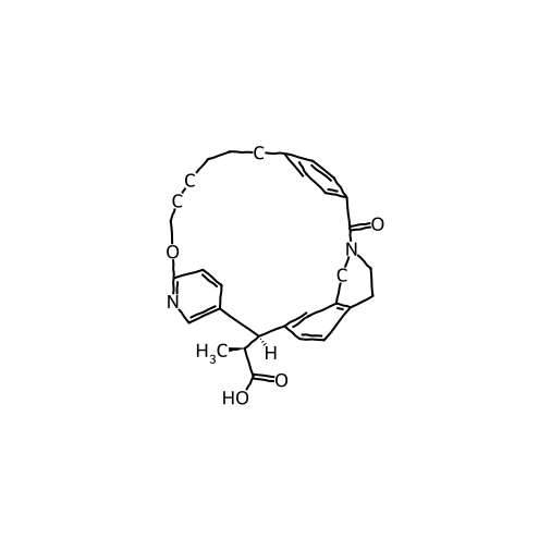 C[C@H](C(=O)O)[C@H]1c2ccc(nc2)OCCCCCCc2ccc(cc2)C(=O)N2CCc3ccc1cc3C2